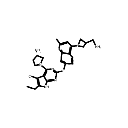 CCc1[nH]c2nc(Sc3ccc4c(N5CC(CN)C5)cc(C)nc4c3)nc(N3CC[C@H](N)C3)c2c1Cl